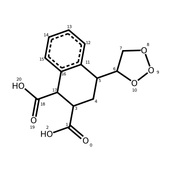 O=C(O)C1CC(C2COOO2)c2ccccc2C1C(=O)O